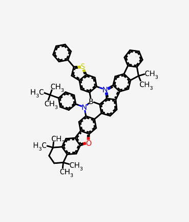 CC(C)(C)c1ccc(N2B3c4cc5cc(-c6ccccc6)sc5cc4-n4c5cc6c(cc5c5ccc(c3c54)-c3cc4oc5cc7c(cc5c4cc32)C(C)(C)CCC7(C)C)C(C)(C)c2ccccc2-6)cc1